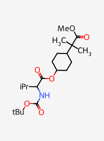 COC(=O)C(C)(C)C1CCC(OC(=O)C(NC(=O)OC(C)(C)C)C(C)C)CC1